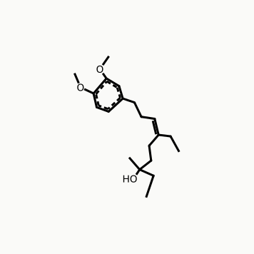 CCC(=CCCc1ccc(OC)c(OC)c1)CCC(C)(O)CC